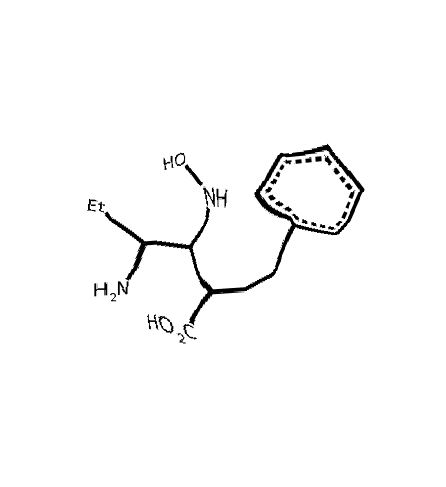 CCC(N)C(NO)C(Cc1ccccc1)C(=O)O